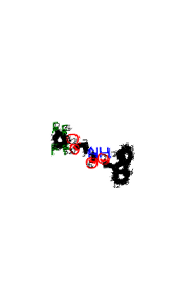 O=C(CCNC(=O)OCC1c2ccccc2-c2ccccc21)Oc1c(F)c(F)cc(F)c1F